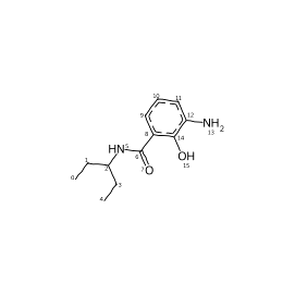 CCC(CC)NC(=O)c1cccc(N)c1O